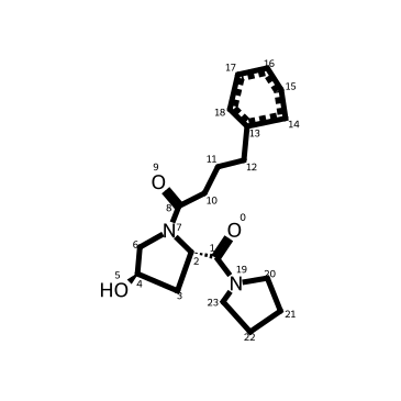 O=C([C@@H]1C[C@@H](O)CN1C(=O)CCCc1ccccc1)N1CCCC1